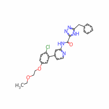 CCOCCOc1ccc(Cl)c(-c2ccnc(NC(=O)c3nnc(Cc4ccccc4)[nH]3)c2)c1